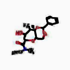 CON(C)C(=O)[C@@H]1OC2COC(c3ccccc3)O[C@@H]2C(C)C1O